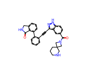 O=C1NCc2cccc(-c3ccccc3C#Cc3n[nH]c4ccc(C(=O)N5CC6(CCCNC6)C5)cc34)c21